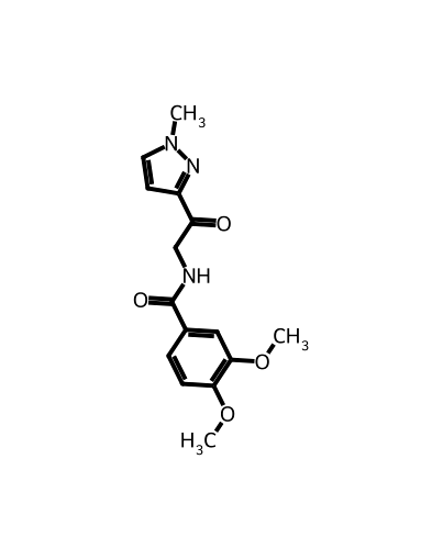 COc1ccc(C(=O)NCC(=O)c2ccn(C)n2)cc1OC